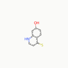 Oc1ccc2c(=S)cc[nH]c2c1